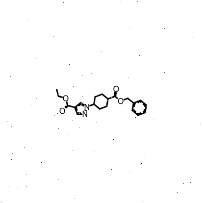 CCOC(=O)c1cnn(C2CCC(C(=O)OCc3ccccc3)CC2)c1